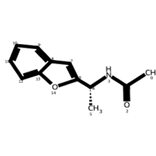 CC(=O)N[C@H](C)c1cc2ccccc2o1